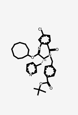 CC(C)(C)OC(=O)c1ccc(CN2C(=O)c3ccc(Cl)cc3N=C(OC3CCCCCCCC3)[C@H]2Cc2cccnc2)cc1